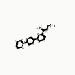 NC/C=C(\N)c1cccc(C2=CCC(C3=CC=CCC3)C=C2)c1